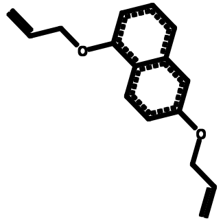 C=CCOc1ccc2c(OCC=C)cccc2c1